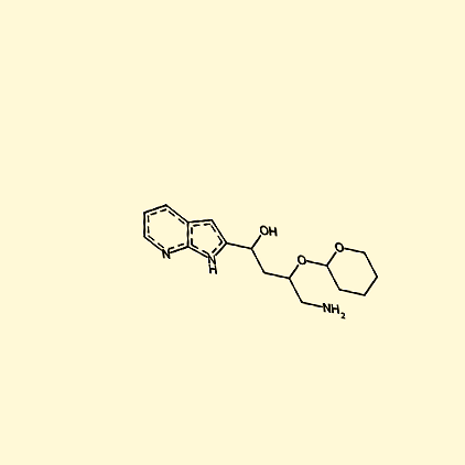 NCC(CC(O)c1cc2cccnc2[nH]1)OC1CCCCO1